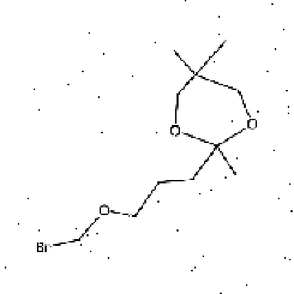 CC1(C)COC(C)(CCCOCBr)OC1